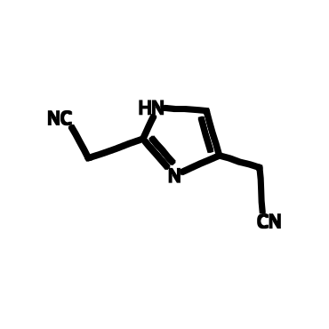 N#CCc1c[nH]c(CC#N)n1